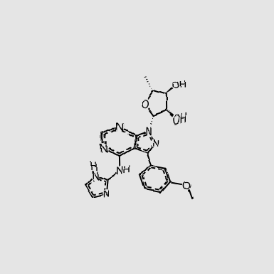 COc1cccc(-c2nn([C@@H]3O[C@H](C)[C@@H](O)[C@H]3O)c3ncnc(Nc4ncc[nH]4)c23)c1